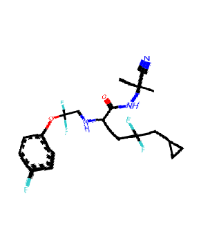 CC(C)(C#N)NC(=O)C(CC(F)(F)CC1CC1)NCC(F)(F)Oc1ccc(F)cc1